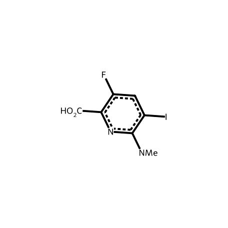 CNc1nc(C(=O)O)c(F)cc1I